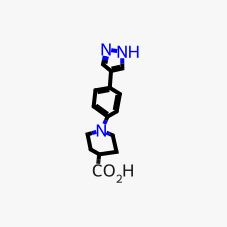 O=C(O)C1CCN(c2ccc(-c3cn[nH]c3)cc2)CC1